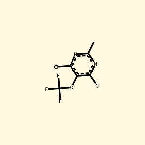 Cc1nc(Cl)c(OC(F)(F)F)c(Cl)n1